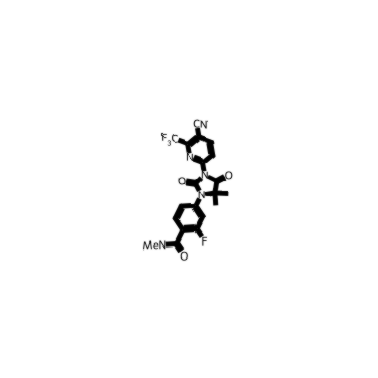 CNC(=O)c1ccc(N2C(=O)N(c3ccc(C#N)c(C(F)(F)F)n3)C(=O)C2(C)C)cc1F